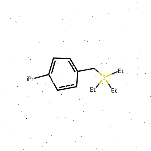 CCS(CC)(CC)Cc1ccc(C(C)C)cc1